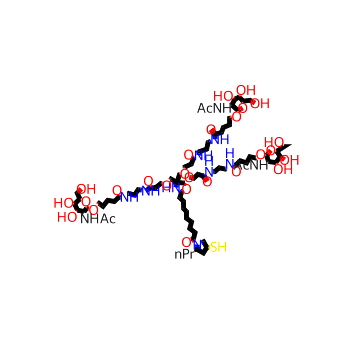 CCC[C@@H]1CC(S)CN1C(=O)CCCCCCCCC(=O)NC(COCCC(=O)NCCCNC(=O)CCCCOC1OC(CO)C(O)C(O)C1NC(C)=O)(COCCC(=O)NCCCNC(=O)CCCCOC1OC(CO)C(O)C(O)C1NC(C)=O)COCCC(=O)NCCCNC(=O)CCCCOC1OC(CO)C(O)C(O)C1NC(C)=O